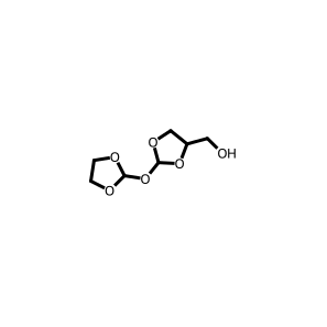 OCC1COC(OC2OCCO2)O1